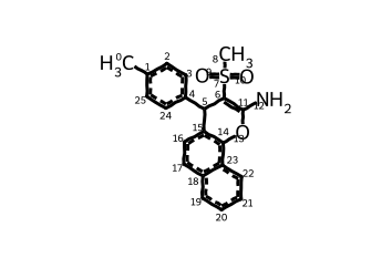 Cc1ccc(C2C(S(C)(=O)=O)=C(N)Oc3c2ccc2ccccc32)cc1